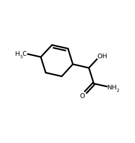 CC1C=CC(C(O)C(N)=O)CC1